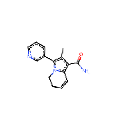 Cc1c(C(N)=O)c2n(c1-c1cccnc1)CCC=C2